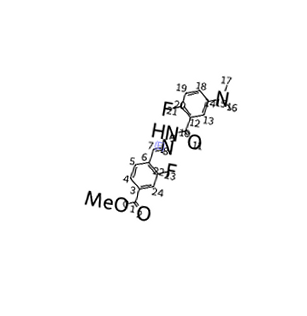 COC(=O)c1ccc(/C=N/NC(=O)c2cc(N(C)C)ccc2F)c(F)c1